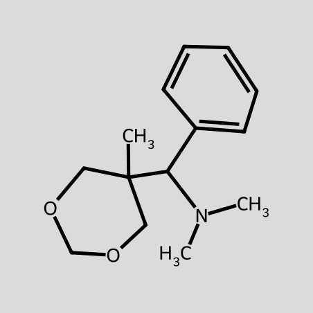 CN(C)C(c1ccccc1)C1(C)COCOC1